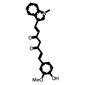 COc1cc(/C=C/C(=O)CC(=O)/C=C/c2cn(C)c3ccccc23)ccc1O